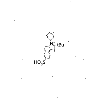 CC(C)(C)C1=[N+](c2ccccc2)c2ccc3cc(S(=O)(=O)O)ccc3c2C1(C)C